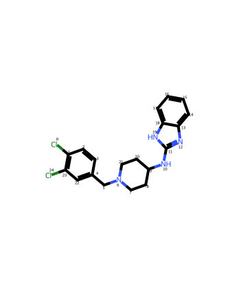 Clc1ccc(CN2CCC(Nc3nc4ccccc4[nH]3)CC2)cc1Cl